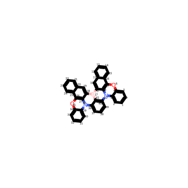 c1ccc2c(c1)Oc1c3c(cc4ccccc14)B1c4cc5ccccc5c5c4N(c4ccccc4O5)c4cccc(c41)N23